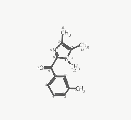 Cc1cccc(C(=O)c2nc(C)c(C)n2C)c1